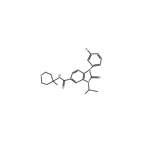 CC(C)n1c(=O)n(-c2cccc(F)c2)c2ccc(C(=O)NC3(C)CCSCC3)cc21